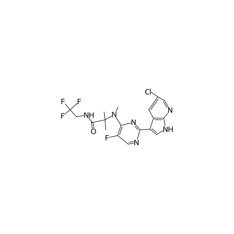 CN(c1nc(-c2c[nH]c3ncc(Cl)cc23)ncc1F)C(C)(C)C(=O)NCC(F)(F)F